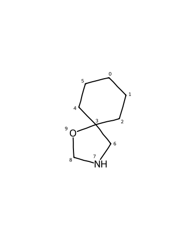 C1CCC2(CC1)CNCO2